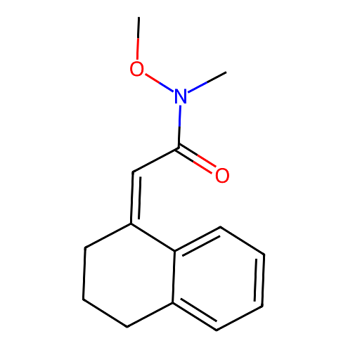 CON(C)C(=O)/C=C1/CCCc2ccccc21